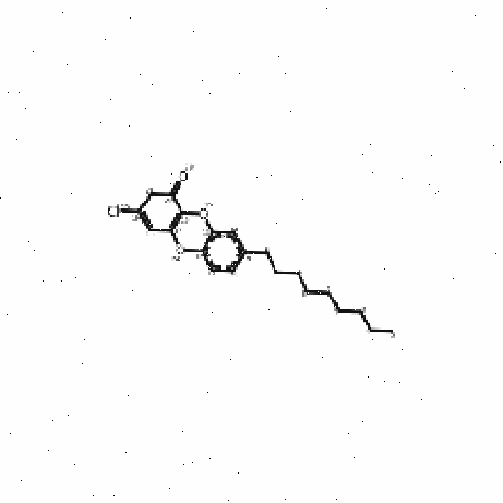 CCCCCCCCCc1ccc2c(c1)OC1=C(C=C(Cl)CC1=O)O2